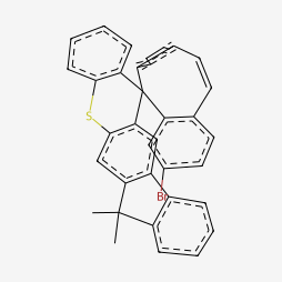 CC1(C)c2ccccc2-c2cc3c(cc21)Sc1ccccc1C31c2ccccc2C=Cc2ccc(Br)cc21